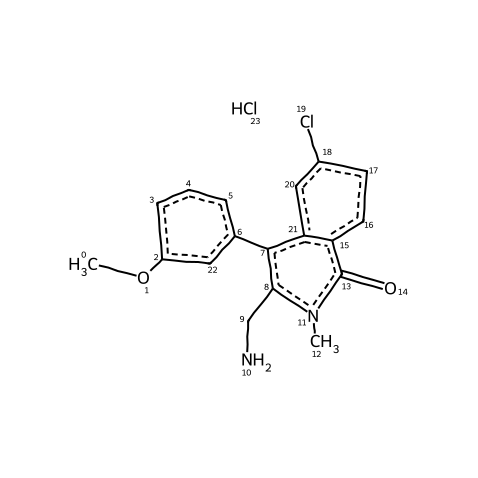 COc1cccc(-c2c(CN)n(C)c(=O)c3ccc(Cl)cc23)c1.Cl